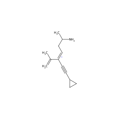 C=C(C)/C(C#CC1CC1)=C\CC(C)N